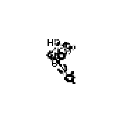 Cc1ccc(N2CCN(C(=O)c3ccc(N4[C@H](CO)CCS4(=O)=O)cc3[N+]3([O-])CCC[S+]3[O-])CC2)c(C)c1